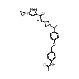 CC(=O)Nc1ccc(COc2ccc(C(C)N3CC(NC(=O)c4cn(C5CC5)nn4)C3)cc2)cc1